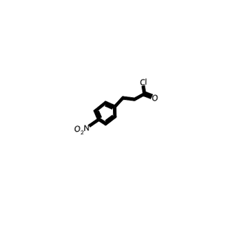 O=C(Cl)CCc1ccc([N+](=O)[O-])cc1